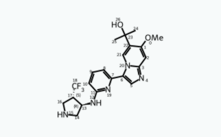 COc1cc2ncc(-c3cccc(N[C@H]4CNC[C@@H]4C(F)(F)F)n3)n2cc1C(C)(C)O